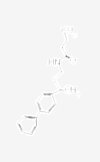 CCCC(=O)NCCC(C)c1ccc(-c2ccccc2)cc1